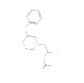 O=C(Cl)OC(CN1CCCC(Oc2ccccc2)C1)C(F)(F)F